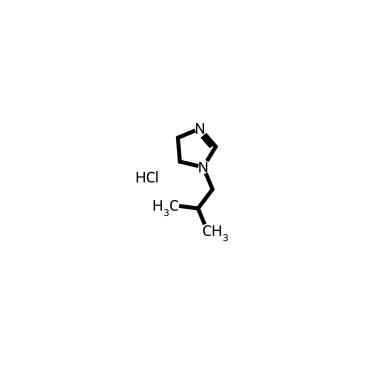 CC(C)CN1C=NCC1.Cl